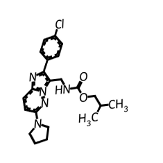 CC(C)COC(=O)NCc1c(-c2ccc(Cl)cc2)nc2ccc(N3CCCC3)nn12